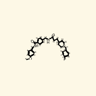 COc1ccc(CNC(=O)c2ccc(CNC(=O)CCC3CCN(Cc4ccc(F)cc4)CC3)cc2)cc1